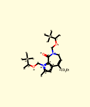 CCOC(=O)C1=CCN(COC(C)[Si](C)(C)C)C(=O)c2c1cc(C)n2COC(C)[Si](C)(C)C